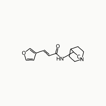 O=C(C=Cc1ccoc1)NC1CN2CCC1CC2